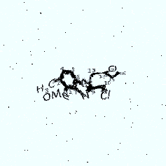 COc1c(C)ccc2c1nc(CCl)n2C[C@@H]1CCO1